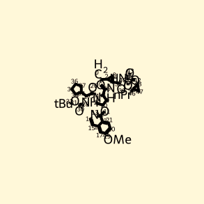 C=CC1CC1(NC(=O)C1CC(Oc2nccc3cc(OC)ccc23)CN1C(=O)C(NC(=O)OC(C)(C)C)C1CCCC1)C(=O)NS(=O)(=O)OC1(CCC)CC1